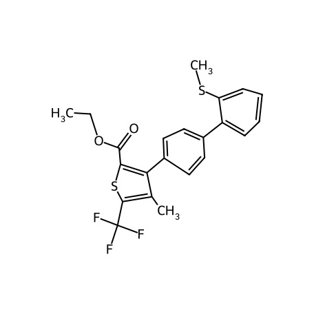 CCOC(=O)c1sc(C(F)(F)F)c(C)c1-c1ccc(-c2ccccc2SC)cc1